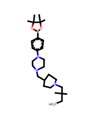 CC(C)(CC(=O)O)CN1CCC(CN2CCN(c3ccc(B4OC(C)(C)C(C)(C)O4)cc3)CC2)CC1